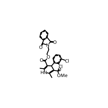 COC(=O)C1=C(C)NC(C)=C(C(=O)OCCN2C(=O)c3ccccc3C2=O)C1c1cccc(Cl)c1Cl